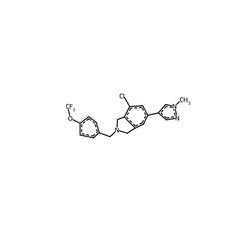 Cn1cc(-c2cc(Cl)c3c(c2)CN(Cc2ccc(OC(F)(F)F)cc2)C3)cn1